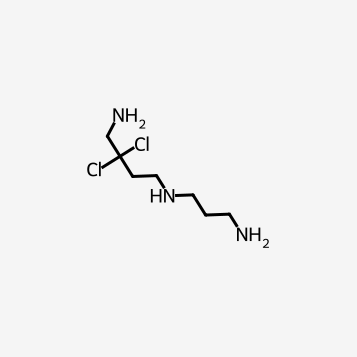 NCCCNCCC(Cl)(Cl)CN